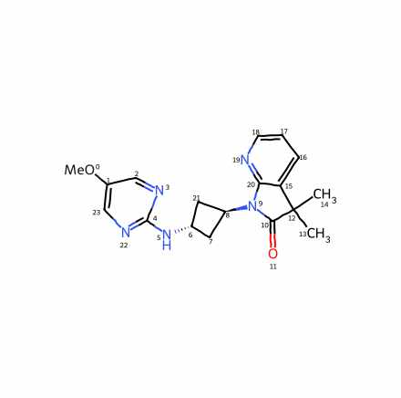 COc1cnc(N[C@H]2C[C@H](N3C(=O)C(C)(C)c4cccnc43)C2)nc1